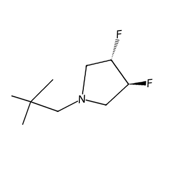 CC(C)(C)CN1C[C@H](F)[C@@H](F)C1